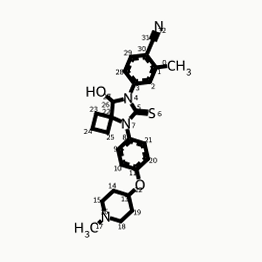 Cc1cc(N2C(=S)N(c3ccc(OC4CCN(C)CC4)cc3)C3(CCC3)C2O)ccc1C#N